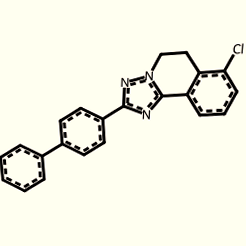 Clc1cccc2c1CCn1nc(-c3ccc(-c4ccccc4)cc3)nc1-2